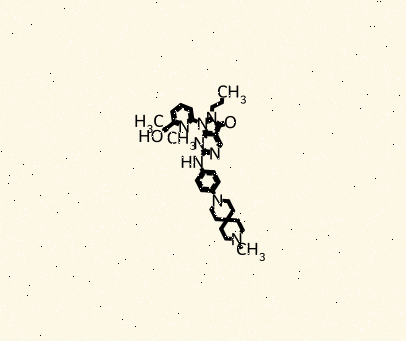 CCCn1c(=O)c2cnc(Nc3ccc(N4CCC5(CCN(C)CC5)CC4)cc3)nc2n1-c1cccc(C(C)(C)O)n1